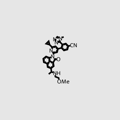 COCCNC(C)c1cc2c3c(cccc3c1)N(c1cc(-c3ccc(C#N)cc3-c3nncn3C)cc(C3CC3)n1)C2=O